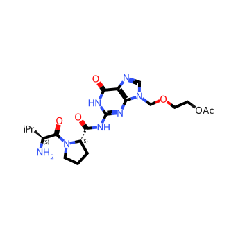 CC(=O)OCCOCn1cnc2c(=O)[nH]c(NC(=O)[C@@H]3CCCN3C(=O)[C@@H](N)C(C)C)nc21